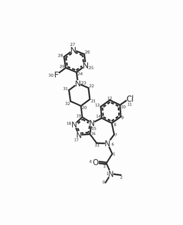 CN(C)C(=O)CN1Cc2cc(Cl)ccc2-n2c(nnc2C2CCN(c3ncncc3F)CC2)C1